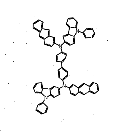 c1ccc(-n2c3ccccc3c3cc(N(c4ccc(-c5ccc(N(c6ccc7cc8ccccc8cc7c6)c6ccc7c(c6)c6ccccc6n7-c6ccccc6)cc5)cc4)c4ccc5cc6ccccc6cc5c4)ccc32)cc1